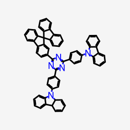 C1=CC2c3ccccc3N(c3ccc(-c4nc(-c5ccc(-n6c7ccccc7c7ccccc76)cc5)nc(-c5ccc6c(c5)C5(c7ccccc7-c7ccccc75)c5ccccc5-6)n4)cc3)C2C=C1